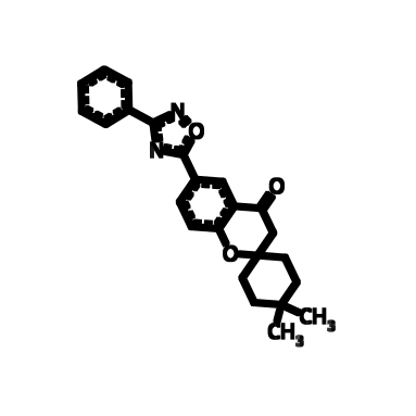 CC1(C)CCC2(CC1)CC(=O)c1cc(-c3nc(-c4ccccc4)no3)ccc1O2